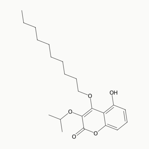 CCCCCCCCCCOc1c(OC(C)C)c(=O)oc2cccc(O)c12